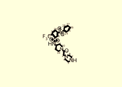 O=C(CN1CCNCC1)N1CCC(NS(=O)(=O)c2cc(S(=O)(=O)c3ccccc3)ccc2C(F)(F)F)CC1